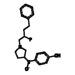 [O-][S+](c1ccc(O)cc1)C1CCN(CC(F)CCc2ccccc2)C1